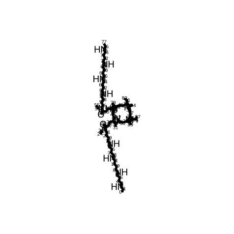 CCNCCCCNCCCCNCCCCNCCCCN(CC)C(=O)CCC1=C(C)c2cc3[nH]c(cc4nc(cc5[nH]c(cc1n2)c(CCC(=O)N(CC)CCCCNCCCCNCCCCNCCCCNCC)c5C)C(CC)=C4C)c(CC)c3C